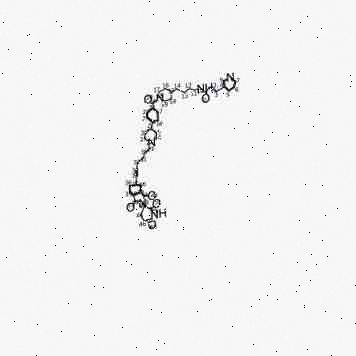 O=C(/C=C/c1cccnc1)NCCCCC1CCN(C(=O)c2ccc(C3CCN(CCCCC#Cc4ccc5c(c4)C(=O)N(C4CCC(=O)NC4=O)C5=O)CC3)cc2)CC1